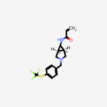 C=CC(=O)NC1[C@H]2CN(Cc3ccc(SC(F)(F)F)cc3)C[C@@H]12